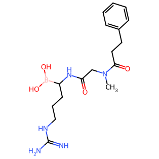 CN(CC(=O)NC(CCCNC(=N)N)B(O)O)C(=O)CCc1ccccc1